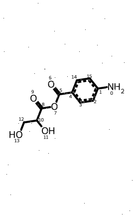 Nc1ccc(C(=O)OC(=O)C(O)CO)cc1